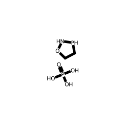 C1CPNO1.O=P(O)(O)O